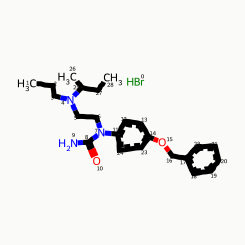 Br.CCCN(CCN(C(N)=O)c1ccc(OCc2ccccc2)cc1)C(C)CC